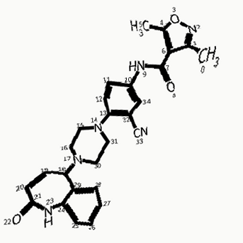 Cc1noc(C)c1C(=O)Nc1ccc(N2CCN(C3C=CC(=O)Nc4ccccc43)CC2)c(C#N)c1